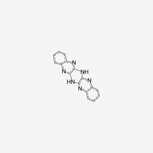 c1ccc2nc3c(nc2c1)Nc1nc2ccccc2nc1N3